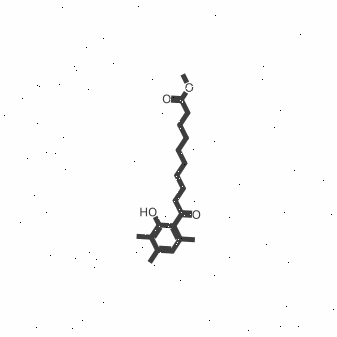 COC(=O)CCCCCCCCC(=O)c1c(C)cc(C)c(C)c1O